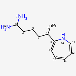 CCCC(CCCC(N)N)C1=CC=CC=CN1